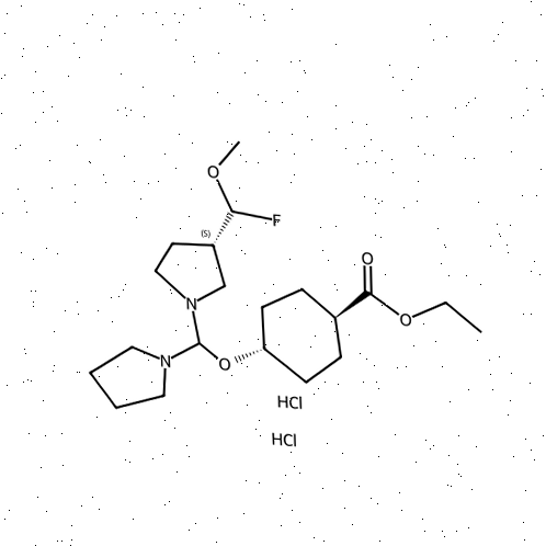 CCOC(=O)[C@H]1CC[C@H](OC(N2CCCC2)N2CC[C@H](C(F)OC)C2)CC1.Cl.Cl